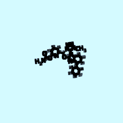 Cn1nnnc1-n1c(OCc2cccc(OC(N)=O)n2)nc2c(-c3ccccc3)cccc21